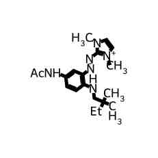 CCC(C)(C)CNc1ccc(NC(C)=O)cc1/N=N/c1n(C)cc[n+]1C